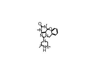 C[C@@H]1CN(c2nc3c(c(=O)n(C)c(=O)n3C)n2Cc2ccccc2)C[C@H](C)N1